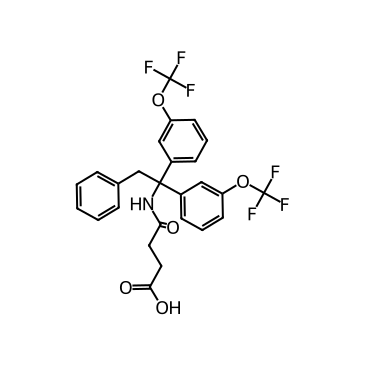 O=C(O)CCC(=O)NC(Cc1ccccc1)(c1cccc(OC(F)(F)F)c1)c1cccc(OC(F)(F)F)c1